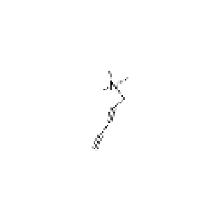 C#CC#CC[N+](C)(C)C